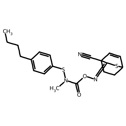 CCCCc1ccc(SN(C)C(=O)ON=C2SC3C=CC2(C#N)CC3)cc1